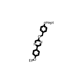 CCCCCCCc1ccc(COc2cnc(-c3ccc(OCC)cc3)cn2)cc1